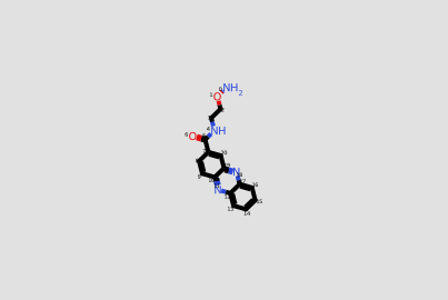 NOCCNC(=O)c1ccc2nc3ccccc3nc2c1